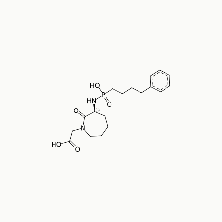 O=C(O)CN1CCCC[C@H](NP(=O)(O)CCCCc2ccccc2)C1=O